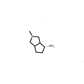 CN1CC2CC[C@@H](N)C2C1